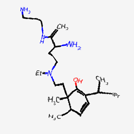 C=C(NCCN)C(N)CCN(CC)CCC1(C)C(O)=C(C(C)C(C)C)C=CC1C